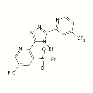 CCn1c(-c2cc(C(F)(F)F)ccn2)nnc1-c1ncc(C(F)(F)F)cc1S(=O)(=O)CC